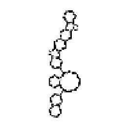 c1cccc(-c2ccc3sc4cc5cc6c(cc5cc4c3c2)oc2ccccc26)c2ccccc2c(-c2ccc3ccccc3c2)cc1